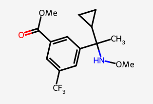 CONC(C)(c1cc(C(=O)OC)cc(C(F)(F)F)c1)C1CC1